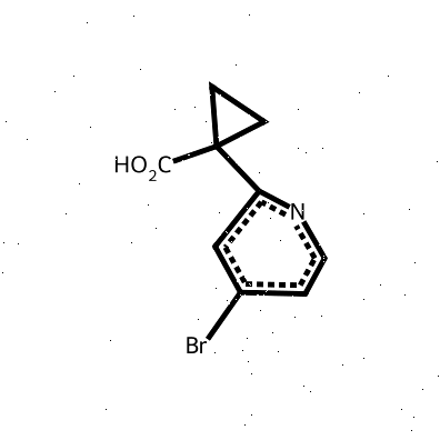 O=C(O)C1(c2cc(Br)ccn2)CC1